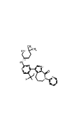 CC1(C)CC[C@H](Nc2ncc(C(F)(F)F)c(-c3c[nH]c4c3CCCN(c3ccccn3)C4=O)n2)CN1